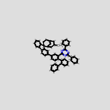 CC1C=C2CC(CCC23c2ccccc2-c2ccc(-c4ccc(-c5ccccc5-c5ccccc5)c(-c5nc(-c6ccccc6)nc(-c6ccccc6)n5)c4)cc23)C1